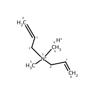 C=CC[N+](C)(C)CC=C.[H+]